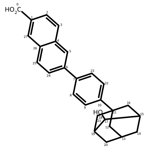 O=C(O)c1ccc2cc(-c3ccc(C45CC6CC(C4)C(O)C(C6)C5)cc3)ccc2c1